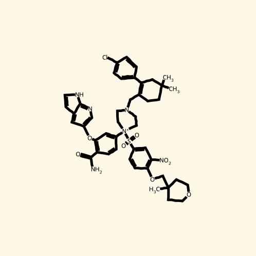 CC1(C)CCC(CN2CC[N+](c3ccc(C(N)=O)c(Oc4cnc5[nH]ccc5c4)c3)(S(=O)(=O)c3ccc(OCC4(C)CCOCC4)c([N+](=O)[O-])c3)CC2)=C(c2ccc(Cl)cc2)C1